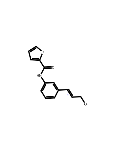 [O]C/C=C/c1cccc(NC(=O)c2ccco2)c1